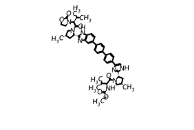 COC(=O)N[C@H](C(=O)N1C[C@@H](C)C[C@H]1c1nc(-c2ccc(-c3ccc(-c4ccc5[nH]c([C@@H]6C[C@H](C)CN6C(=O)[C@H](C(C)C)N6CCOC6=O)nc5c4)cc3)cc2)c[nH]1)C(C)C